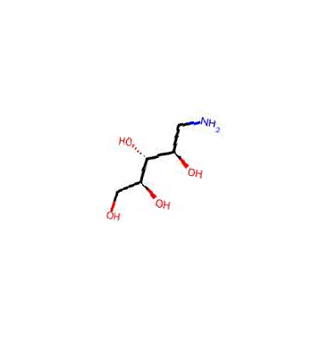 NC[C@@H](O)[C@@H](O)[C@@H](O)CO